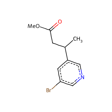 COC(=O)CC(C)c1cncc(Br)c1